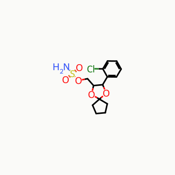 NS(=O)(=O)OCC1OC2(CCCC2)OC1c1ccccc1Cl